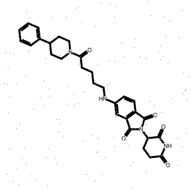 O=C1CCC(N2C(=O)c3ccc(NCCCCC(=O)N4CCC(c5ccccc5)CC4)cc3C2=O)C(=O)N1